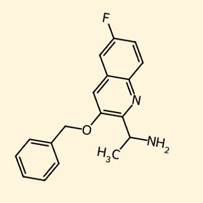 CC(N)c1nc2ccc(F)cc2cc1OCc1ccccc1